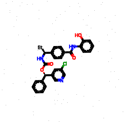 CC[C@H](NC(=O)O[C@@H](c1ccccc1)c1cncc(Cl)c1)c1ccc(C(=O)Nc2ccccc2O)cc1